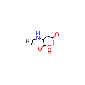 CNC(CC(=O)I)C(=O)O